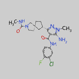 CNC(=O)N1CC[C@@]2(CC[C@H](c3nn(C)c(N)c3C(=O)Nc3ccc(F)c(Cl)c3)C2)C1